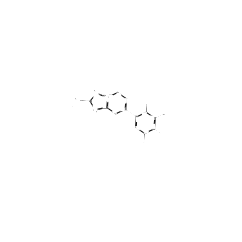 Cc1c(C(=O)O)cc(-c2ccn3nc(N)nc3c2)c(F)c1F